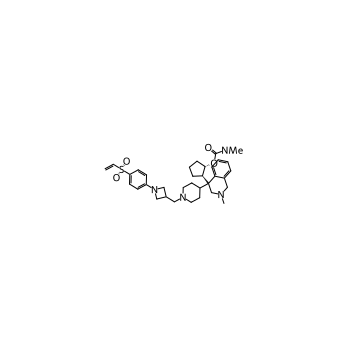 C=CS(=O)(=O)c1ccc(N2CC(CN3CCC(C4([C@H]5CCC[C@@H]5OC(=O)NC)CN(C)Cc5ccccc54)CC3)C2)cc1